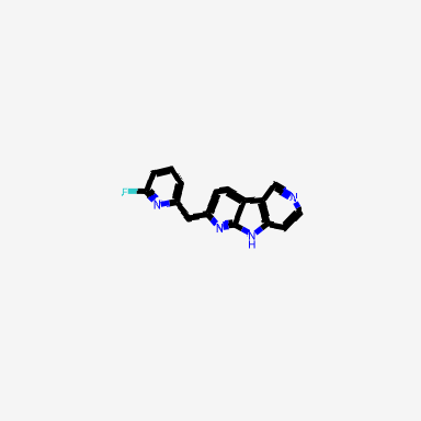 Fc1cccc(Cc2ccc3c(n2)[nH]c2ccncc23)n1